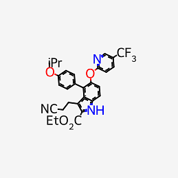 CCOC(=O)c1[nH]c2ccc(Oc3ccc(C(F)(F)F)cn3)c(-c3ccc(OC(C)C)cc3)c2c1CCC#N